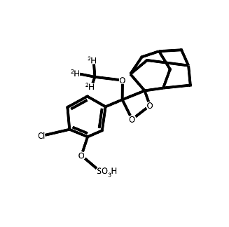 [2H]C([2H])([2H])OC1(c2ccc(Cl)c(OS(=O)(=O)O)c2)OOC12C1CC3CC(C1)CC2C3